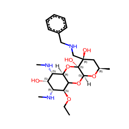 CCO[C@@H]1C2O[C@@H]3O[C@H](C)C[C@@](O)(CNCc4ccccc4)[C@]3(O)O[C@@H]2[C@@H](NC)[C@@H](O)[C@H]1NC